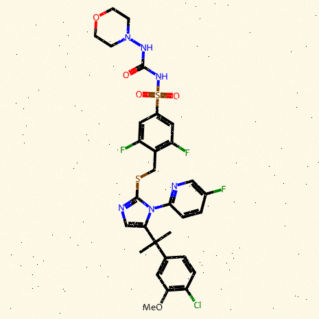 COc1cc(C(C)(C)c2cnc(SCc3c(F)cc(S(=O)(=O)NC(=O)NN4CCOCC4)cc3F)n2-c2ccc(F)cn2)ccc1Cl